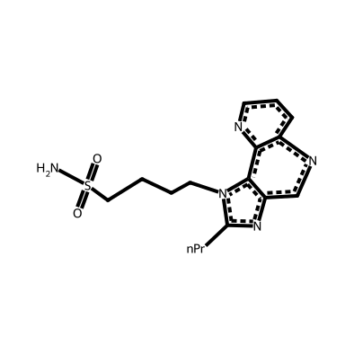 CCCc1nc2cnc3cccnc3c2n1CCCCS(N)(=O)=O